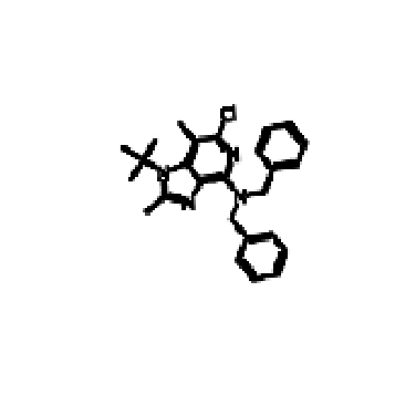 Cc1c(Cl)nc(N(Cc2ccccc2)Cc2ccccc2)c2nc(C)n(C(C)(C)C)c12